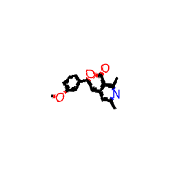 COc1cccc(-c2cc3cc(C)nc(C)c3c(=O)o2)c1